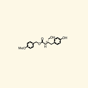 COc1ccc(COC(=O)N[C@H](CO)Cc2ccc(O)cc2)cc1